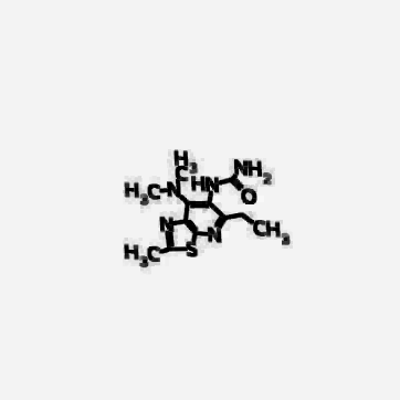 CCc1nc2sc(C)nc2c(N(C)C)c1NC(N)=O